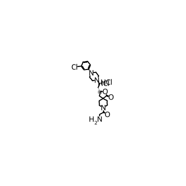 Cl.Cl.NCC(=O)N1CCC2(CC1)C[C@H](CCN1CCN(c3cccc(Cl)c3)CC1)OC2=O